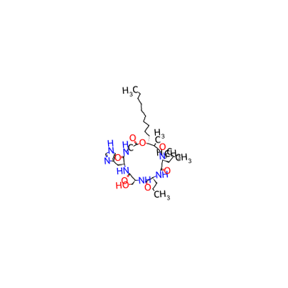 CCCCCCCCCC[C@H]1OC(=O)CNC(=O)[C@H](Cc2c[nH]cn2)NC(=O)[C@H](CO)NC(=O)[C@H](CCC)NC(=O)[C@H](CC(C)C)N(C)C(=O)[C@@H]1C